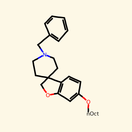 CCCCCCCCOc1ccc2c(c1)OCC21CCN(Cc2ccccc2)CC1